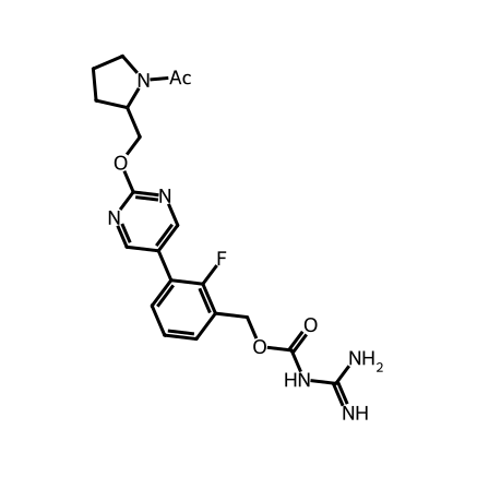 CC(=O)N1CCCC1COc1ncc(-c2cccc(COC(=O)NC(=N)N)c2F)cn1